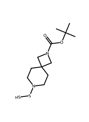 CC(C)(C)OC(=O)N1CC2(CCN(SS)CC2)C1